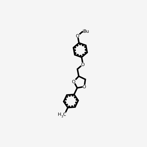 CCC(C)Oc1ccc(OCC2COC(c3ccc(C)cc3)O2)cc1